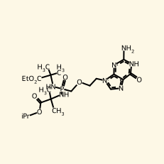 CCOC(=O)C(C)(C)NP(=O)(COCCn1cnc2c(=O)[nH]c(N)nc21)NC(C)(C)C(=O)OC(C)C